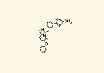 Bc1cnc(-c2cccc(Cc3nnc4ccc(Oc5ccccc5)nn34)c2)nc1